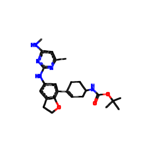 CNc1cc(C)nc(Nc2cc3c(c(C4=CCC(NC(=O)OC(C)(C)C)CC4)c2)OCC3)n1